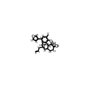 C=CCN1CC[C@@]23c4c5c(-c6ccoc6)cc(C)c4O[C@@H]2C(=O)CCC3C1C5